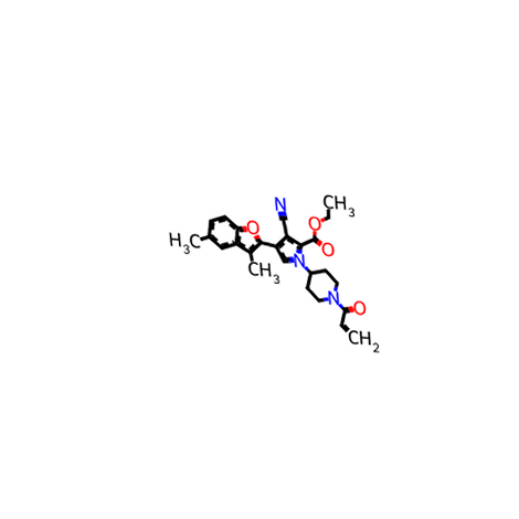 C=CC(=O)N1CCC(n2cc(-c3oc4ccc(C)cc4c3C)c(C#N)c2C(=O)OCC)CC1